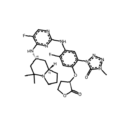 Cn1nnn(-c2cc(Nc3ncc(F)c(N[C@@H]4C[C@@H]5CCCN5C(C)(C)C4)n3)c(F)cc2OC2CCOC2=O)c1=O